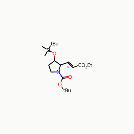 CCOC(=O)/C=C/C1C(O[Si](C)(C)C(C)(C)C)CCN1C(=O)OC(C)(C)C